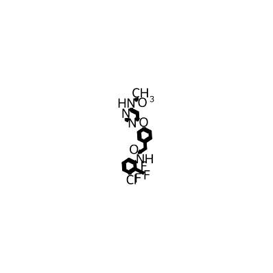 CC(=O)Nc1cc(Oc2ccc(CC(=O)Nc3cccc(Cl)c3C(F)(F)F)cc2)ncn1